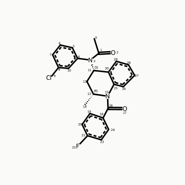 CC(=O)N(c1cccc(Cl)c1)[C@H]1C[C@@H](C)N(C(=O)c2ccc(F)cc2)c2ccccc21